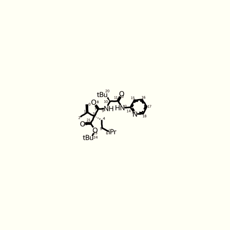 C=C(C)[C@@](CCC(C)C)(C(=O)N[C@H](C(=O)Nc1ccccn1)C(C)(C)C)C(=O)OC(C)(C)C